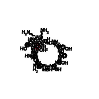 CC(C)C[C@@H]1NC(=O)C(C(C)C)NC(=O)[C@H](CC(N)=O)NC(=O)C(CO)NC(=O)[C@H](CO)NC(=O)C(CC(=O)O)NC(=O)[C@H](CC(=O)O)NC(=O)C(Cc2ccccc2)NC(=O)[C@H](Cc2ccc(O)cc2)NC(=O)C(N)CNC(=O)CC(C(=O)NC(CCCCN)C(=O)N[C@@H](CCCCN)C(=O)NC(Cc2ccc(O)cc2)C(=O)N[C@@H](CCCNC(=N)N)C(=O)NC(CO)C(N)=O)NC1=O